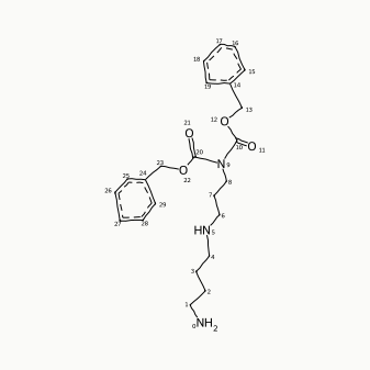 NCCCCNCCCN(C(=O)OCc1ccccc1)C(=O)OCc1ccccc1